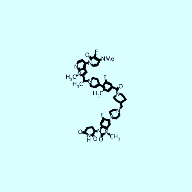 CNc1ccn(-c2ccnc3c2cc([C@H](C)N2CC=C(c4c(C)cc(C(=O)N5CCC(CN6CCN(c7cc8c(cc7F)n(C7CCC(=O)NC7=O)c(=O)n8C)CC6)CC5)cc4F)CC2)n3C)c(=O)c1F